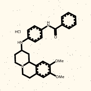 COc1cc2c(cc1OC)C1CC(Nc3ccc(NC(=O)c4ccccc4)cc3)CCN1CC2.Cl